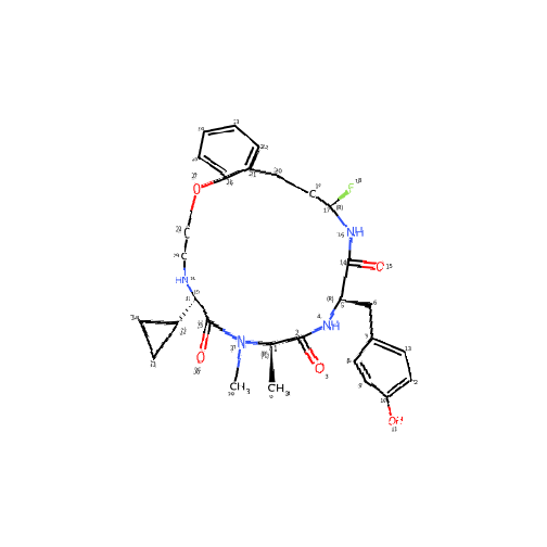 C[C@@H]1C(=O)N[C@H](Cc2ccc(O)cc2)C(=O)N[C@H](F)CCc2ccccc2OCCN[C@@H](C2CC2)C(=O)N1C